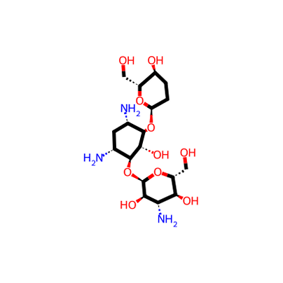 N[C@@H]1[C@@H](O)[C@@H](O[C@@H]2[C@@H](O)[C@H](O[C@@H]3CC[C@H](O)[C@@H](CO)O3)[C@@H](N)C[C@H]2N)O[C@H](CO)[C@H]1O